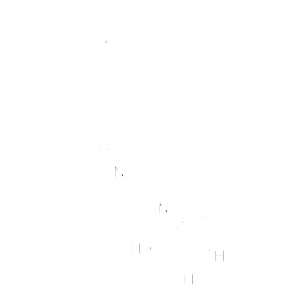 CC(C)(C)[S+]([O-])N=Cc1cc(-c2ccc(F)cc2)on1